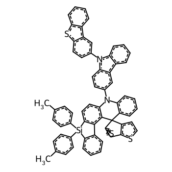 Cc1ccc([Si]2(c3ccc(C)cc3)c3ccccc3-c3c2ccc2c3C3(c4ccccc4N2c2ccc4c(c2)c2ccccc2n4-c2ccc4sc5ccccc5c4c2)c2ccsc2-c2sccc23)cc1